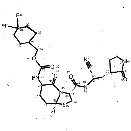 N#C[C@H](C[C@@H]1CCNC1=O)NC(=O)[C@@H]1CS[C@H]2CCC(NC(=O)OCC3CCC(F)(F)CC3)C(=O)N21